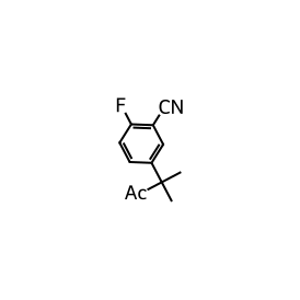 CC(=O)C(C)(C)c1ccc(F)c(C#N)c1